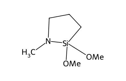 CO[Si]1(OC)CCCN1C